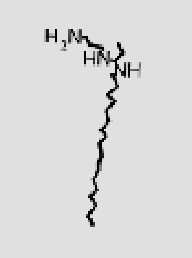 CCCCCCCCCCCCCCCCCCNC(CC)NCCCN